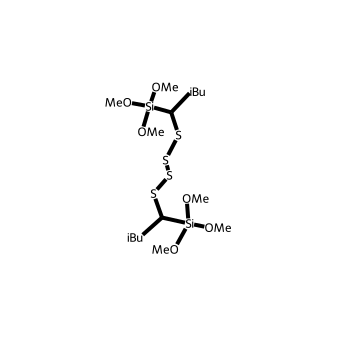 CCC(C)C(SSSSC(C(C)CC)[Si](OC)(OC)OC)[Si](OC)(OC)OC